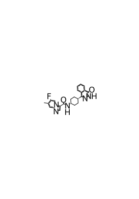 Cc1cc2ncc(C(=O)N[C@H]3CC[C@H](c4n[nH]c(=O)c5ccccc54)CC3)n2cc1F